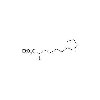 C=C(CCCCC1CCCC1)C(=O)OCC